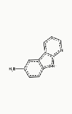 Bc1ccc2[nH]c3ncccc3c2c1